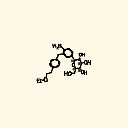 CCOCCc1ccc(Cc2cc([C@@H]3O[C@H](CO)[C@@H](O)[C@H](O)[C@H]3O)ccc2N)cc1